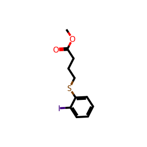 COC(=O)CCCSc1ccccc1I